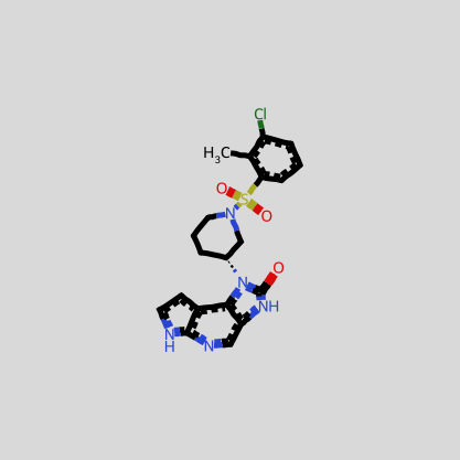 Cc1c(Cl)cccc1S(=O)(=O)N1CCC[C@@H](n2c(=O)[nH]c3cnc4[nH]ccc4c32)C1